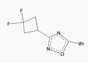 CC(C)c1nc(C2CC(F)(F)C2)no1